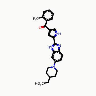 O=C(O)CC1CCN(c2ccc3nc(-c4cc(C(=O)c5ccccc5C(F)(F)F)c[nH]4)[nH]c3c2)CC1